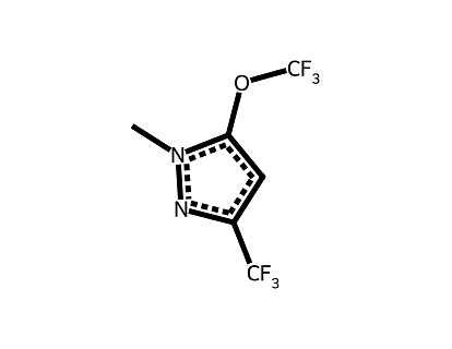 Cn1nc(C(F)(F)F)cc1OC(F)(F)F